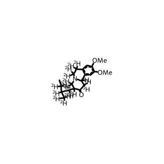 [2H]C([2H])([2H])C([2H])(C([2H])([2H])C)C([2H])([2H])C1([2H])C(=O)C([2H])([2H])C2([2H])c3cc(OC)c(OC)cc3C([2H])([2H])C([2H])([2H])N2C1([2H])[2H]